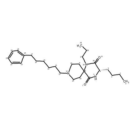 CCCC[C@@H]1NC(=O)C2(CCN(CCCCCCc3ccccc3)CC2)N(CCC)C1=O